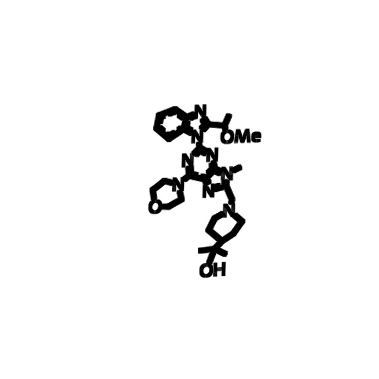 COC(C)c1nc2ccccc2n1-c1nc(N2CCOCC2)c2nc(CN3CCC(C(C)(C)O)CC3)n(C)c2n1